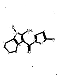 Nc1c(C(=O)c2ccc(Br)s2)c2c([s+]1[O-])CCCC2